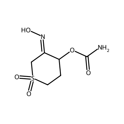 NC(=O)OC1CCS(=O)(=O)C/C1=N\O